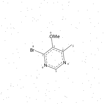 COc1c(C)ncnc1Br